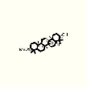 CO[C@H]1CC[C@@]2(C)C(CC[C@]3(C)C2CC[C@]24O[C@@]23CC[C@H]2C(C)(C)[C@H](O)CC[C@@]24C)C1(C)C